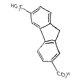 O=C(O)c1ccc2c(c1)Cc1ccc(C(=O)O)cc1-2